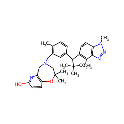 Cc1ccc(C(c2ccc3c(nnn3C)c2C)C(C)(C)C(=O)O)cc1CN1Cc2nc(O)ccc2OC(C)(C)C1